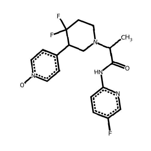 CC(C(=O)Nc1ccc(F)cn1)N1CCC(F)(F)C(c2cc[n+]([O-])cc2)C1